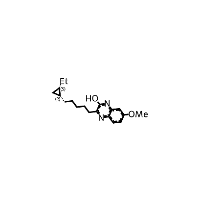 CC[C@H]1C[C@H]1CCCCCc1nc2ccc(OC)cc2nc1O